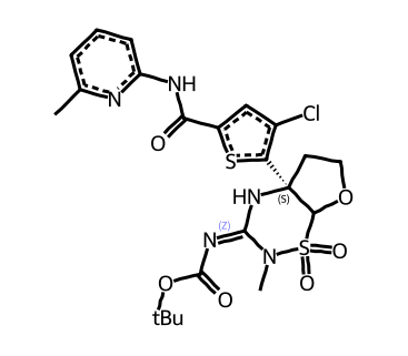 Cc1cccc(NC(=O)c2cc(Cl)c([C@]34CCOC3S(=O)(=O)N(C)/C(=N\C(=O)OC(C)(C)C)N4)s2)n1